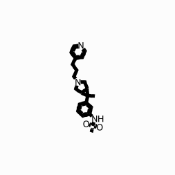 CC1(c2cccc(NS(C)(=O)=O)c2)C2CN(CCCc3ccncc3)CC21